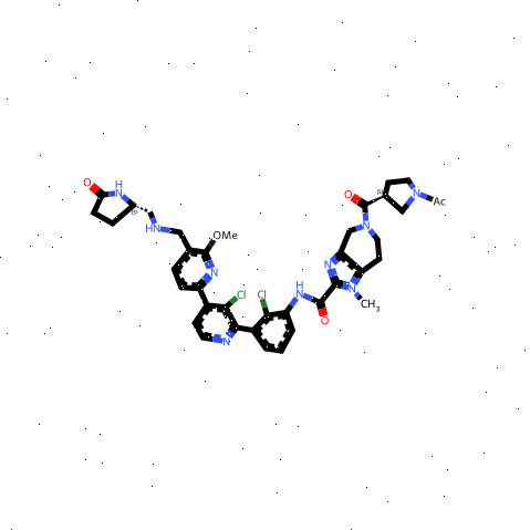 COc1nc(-c2ccnc(-c3cccc(NC(=O)c4nc5c(n4C)CCN(C(=O)[C@H]4CCN(C(C)=O)C4)C5)c3Cl)c2Cl)ccc1CNC[C@@H]1CCC(=O)N1